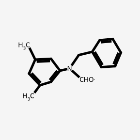 Cc1cc(C)cc(N([C]=O)Cc2ccccc2)c1